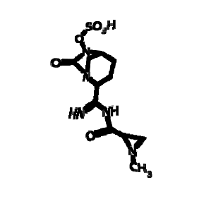 CN1CC1C(=O)NC(=N)C1CCC2CN1C(=O)N2OS(=O)(=O)O